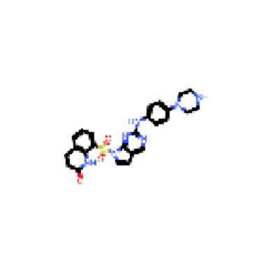 O=C1CCc2cccc(S(=O)(=O)n3ccc4cnc(Nc5ccc(N6CCNCC6)cc5)nc43)c2N1